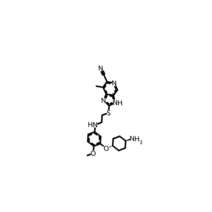 COc1ccc(NCCSc2nc3c(C)c(C#N)ncc3[nH]2)cc1O[C@H]1CC[C@H](N)CC1